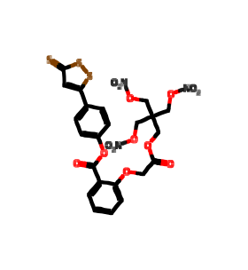 O=C(COc1ccccc1C(=O)Oc1ccc(-c2cc(=S)ss2)cc1)OCC(CO[N+](=O)[O-])(CO[N+](=O)[O-])CO[N+](=O)[O-]